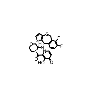 O=C1c2c(O)c(=O)ccn2N([C@H]2c3ccc(F)c(F)c3CSc3ccsc32)[C@@H]2COCCN12